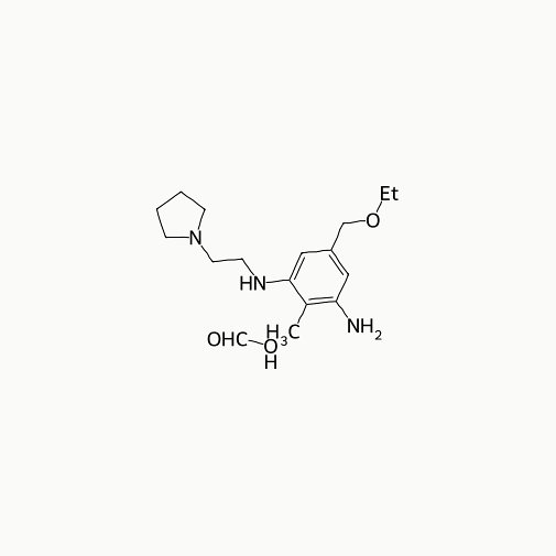 CCOCc1cc(N)c(C)c(NCCN2CCCC2)c1.O=CO